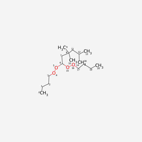 CCCCOOC(CC(C)(C)CC(C)C)OOCCCC